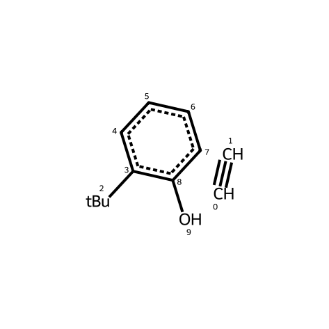 C#C.CC(C)(C)c1ccccc1O